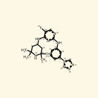 CC1(C)CC(Nc2nc(Nc3cccc(-n4cnnn4)c3)ncc2F)CC(C)(C)N1